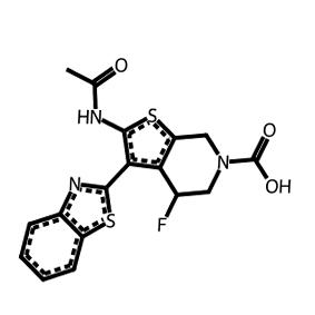 CC(=O)Nc1sc2c(c1-c1nc3ccccc3s1)C(F)CN(C(=O)O)C2